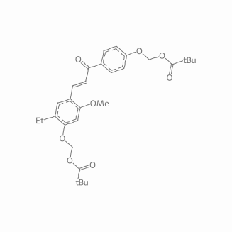 CCc1cc(C=CC(=O)c2ccc(OCOC(=O)C(C)(C)C)cc2)c(OC)cc1OCOC(=O)C(C)(C)C